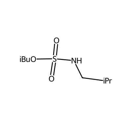 CC(C)CNS(=O)(=O)OCC(C)C